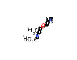 CC1=C(CN2CC[C@H](C(=O)O)C2)CCc2cc(OCc3ccc(-n4cccc4)c(C(F)(F)F)c3)ccc21